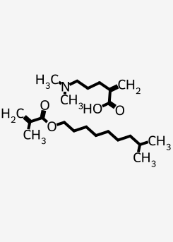 C=C(C)C(=O)OCCCCCCCC(C)C.C=C(CCCN(C)C)C(=O)O